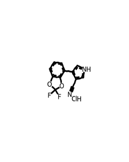 Cl.N#Cc1c[nH]cc1-c1cccc2c1OC(F)(F)O2